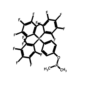 [CH3][Al]([CH3])[O]c1ccc([B-](c2c(F)c(F)c(F)c(F)c2F)(c2c(F)c(F)c(F)c(F)c2F)c2c(F)c(F)c(F)c(F)c2F)cc1